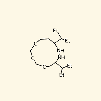 CCC(CC)C1CCCCCCCCC(C(CC)CC)NN1